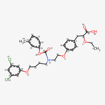 CCOC(Cc1ccc(OCCN(CCCCOc2cc(Cl)cc(Cl)c2)C(=O)Oc2cccc(C)c2)cc1)C(=O)O